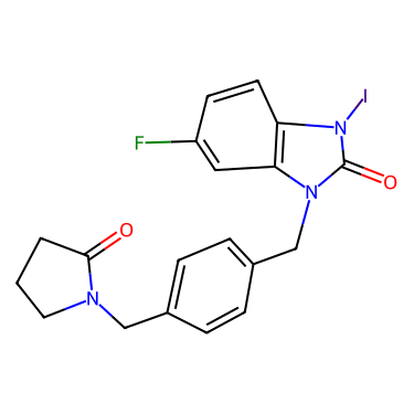 O=C1CCCN1Cc1ccc(Cn2c(=O)n(I)c3ccc(F)cc32)cc1